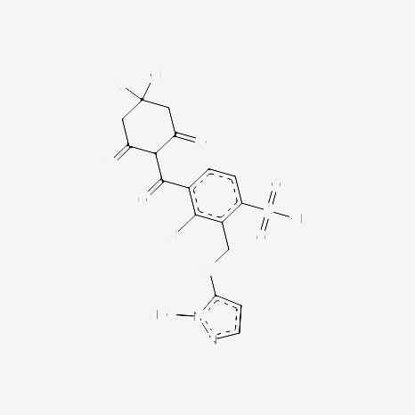 Cn1nccc1OCc1c(S(C)(=O)=O)ccc(C(=O)C2C(=O)CC(C)(C)CC2=O)c1Cl